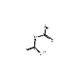 CC(O)OC(=O)O